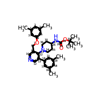 Cc1cc(C)cc(OCc2cncc(-c3cc(C)cc(C)c3)c2N2CCC(NC(=O)OC(C)(C)C)CC2)c1